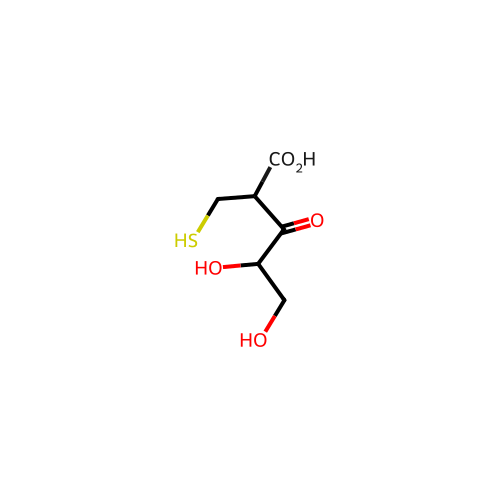 O=C(O)C(CS)C(=O)C(O)CO